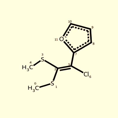 CSC(SC)=C(Cl)c1ccco1